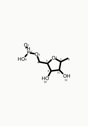 CC1OC(CO[PH](=O)O)C(O)C1O